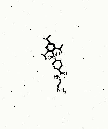 CC(C)c1cc(C(C)C)c(S(=O)(=O)C2CCC(C(=O)NCCN)CC2)c(C(C)C)c1